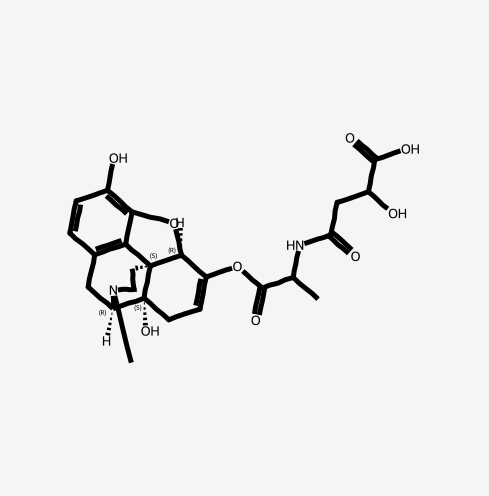 CC(NC(=O)CC(O)C(=O)O)C(=O)OC1=CC[C@@]2(O)[C@H]3Cc4ccc(O)c5c4[C@@]2(CCN3C)[C@H]1O5